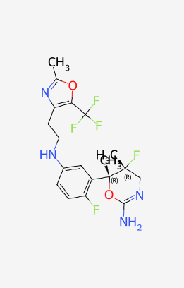 Cc1nc(CCNc2ccc(F)c([C@@]3(C)OC(N)=NC[C@@]3(C)F)c2)c(C(F)(F)F)o1